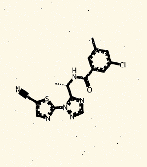 Cc1cc(Cl)cc(C(=O)N[C@@H](C)c2ncnn2-c2ncc(C#N)s2)c1